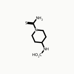 NC(=S)N1CCC(NC(=O)O)CC1